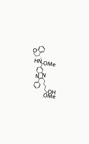 COC(O)CCCCc1nc2cc(C(NC[C@@H]3CCOc4ccccc43)OC)ccc2nc1-c1ccccc1